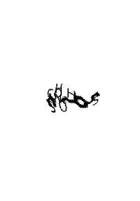 O=C(CCc1ccc(-c2cccs2)cc1)Nc1cscc1C(=O)O